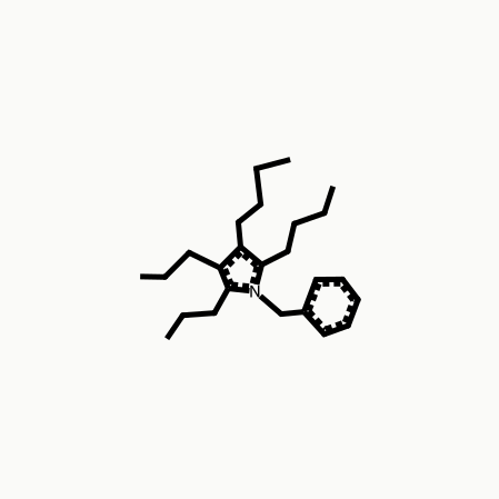 CCCCc1c(CCC)c(CCC)n(Cc2ccccc2)c1CCCC